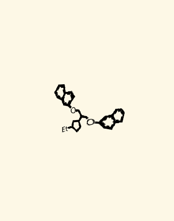 CCC1CCC(C(COc2ccc3ccccc3c2)COc2ccc3ccccc3c2)C1